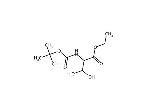 CCOC(=O)C(NC(=O)OC(C)(C)C)C(C)O